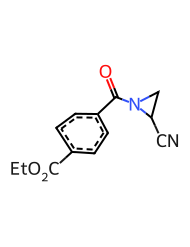 CCOC(=O)c1ccc(C(=O)N2CC2C#N)cc1